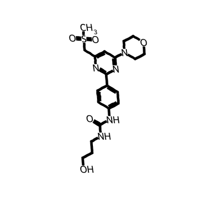 CS(=O)(=O)Cc1cc(N2CCOCC2)nc(-c2ccc(NC(=O)NCCCO)cc2)n1